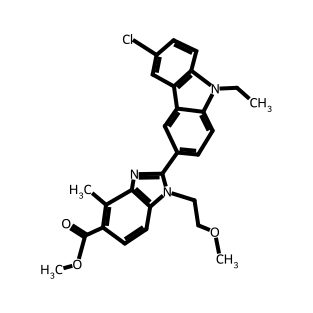 CCn1c2ccc(Cl)cc2c2cc(-c3nc4c(C)c(C(=O)OC)ccc4n3CCOC)ccc21